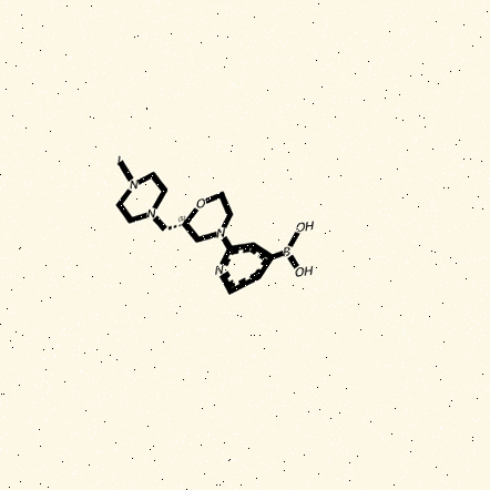 OB(O)c1ccnc(N2CCO[C@@H](CN3CCN(I)CC3)C2)c1